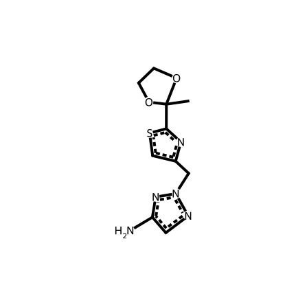 CC1(c2nc(Cn3ncc(N)n3)cs2)OCCO1